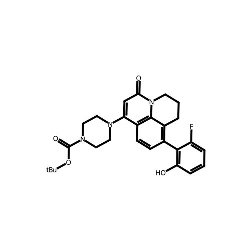 CC(C)(C)OC(=O)N1CCN(c2cc(=O)n3c4c(c(-c5c(O)cccc5F)ccc24)CCC3)CC1